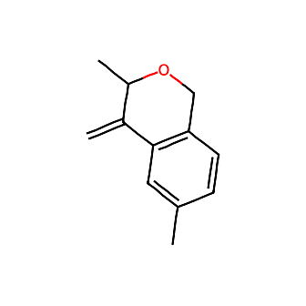 C=C1c2cc(C)ccc2COC1C